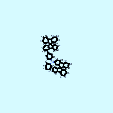 C1=CC2C(C(c3ccc(N(c4ccccc4)c4ccc5c(c4)C4(c6ccccc6-c6ccccc64)c4ccccc4-5)cc3)=C1)c1ccccc1C21c2ccccc2-c2ccccc21